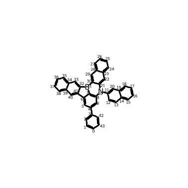 c1ccc(-c2cc3c4c(c2)N(c2ccc5ccccc5c2)c2cc5ccccc5cc2B4c2cc4ccccc4cc2-3)cc1